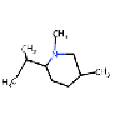 CC1CCC(C(C)C)N(C)C1